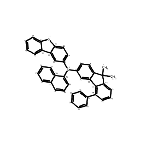 CC1(C)c2ccc(N(c3ccc4sc5ccccc5c4c3)c3cccc4ccccc34)cc2-c2c(-c3ccccc3)cccc21